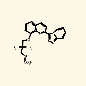 CC(C)(CNC(=O)O)COc1cccc2ccc(-c3nnc4ccccn34)nc12